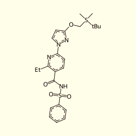 CCc1nc(-n2ccc(OCS(C)(C)C(C)(C)C)n2)ccc1C(=O)NS(=O)(=O)c1ccccc1